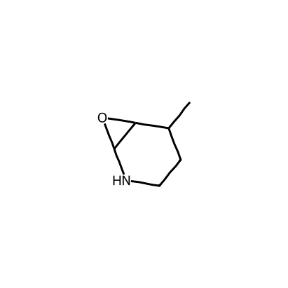 CC1CCNC2OC12